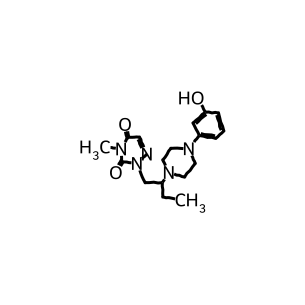 CCC(Cn1ncc(=O)n(C)c1=O)N1CCN(c2cccc(O)c2)CC1